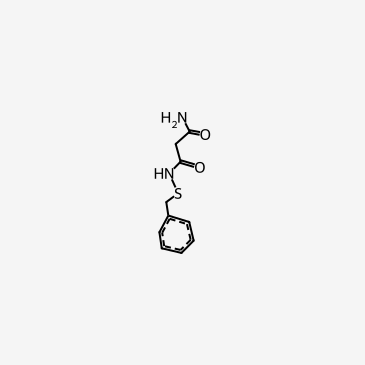 NC(=O)CC(=O)NSCc1ccccc1